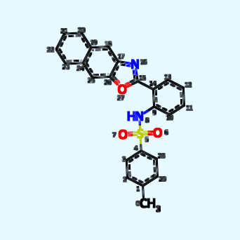 Cc1ccc(S(=O)(=O)Nc2ccccc2-c2nc3cc4ccccc4cc3o2)cc1